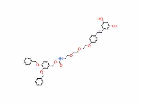 O=C(NCCOCCOCCOc1ccc(/C=C/c2cc(O)cc(O)c2)cc1)OCc1ccc(OCc2ccccc2)c(OCc2ccccc2)c1